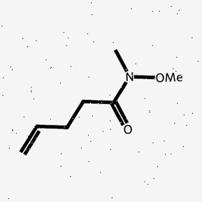 C=CCCC(=O)N(C)OC